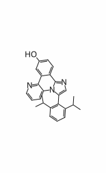 CC(C)c1cccc(C(C)C)c1-c1cnc2c3ccc(O)cc3c3ncccc3n12